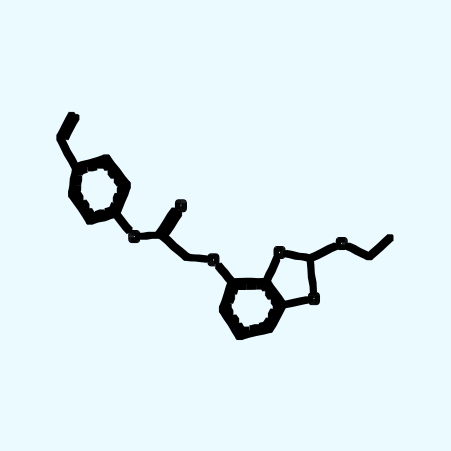 C=Cc1ccc(OC(=O)COc2cccc3c2OC(OCC)O3)cc1